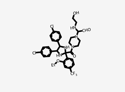 CCOc1cc(C(F)(F)F)ccc1C1(C(=O)N2CCN(C(C=O)NCCO)CC2)NC(c2ccc(Cl)cc2)C(c2ccc(Cl)cc2)N1